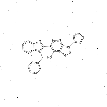 Oc1c(-c2nc3ccccc3n2Cc2ccccc2)nnc2c(-c3ccsc3)cnn12